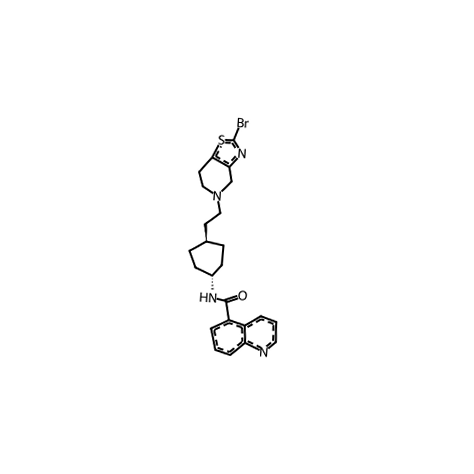 O=C(N[C@H]1CC[C@H](CCN2CCc3sc(Br)nc3C2)CC1)c1cccc2ncccc12